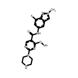 CCCOc1nc(N2CCNCC2)ncc1C(=O)Nc1cc(F)c2nn(C)cc2c1